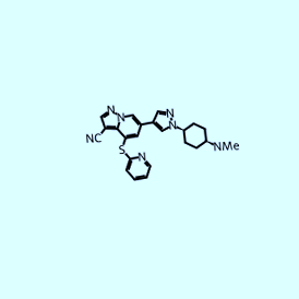 CN[C@H]1CC[C@@H](n2cc(-c3cc(Sc4ccccn4)c4c(C#N)cnn4c3)cn2)CC1